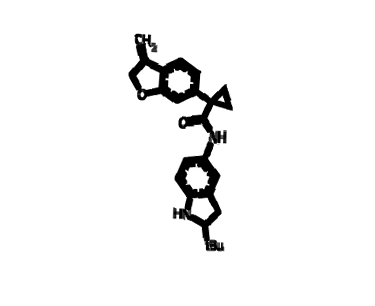 C=C1COc2cc(C3(C(=O)Nc4ccc5c(c4)CC(C(C)(C)C)N5)CC3)ccc21